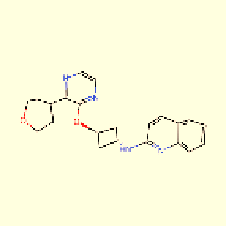 c1ccc2nc(N[C@H]3C[C@H](Oc4nccnc4C4CCOCC4)C3)ccc2c1